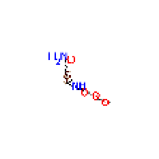 COCCOCCOCCNCC(C)(C)SSCCCC(N)=O